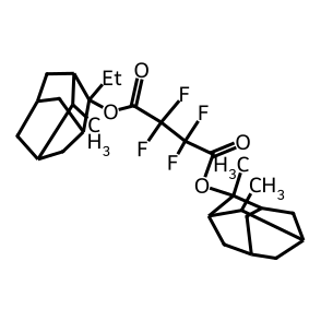 CCC1(OC(=O)C(F)(F)C(F)(F)C(=O)OC2(C)C3CC4CC(C3)C(C)C2C4)C2CC3CC(C2)C(C)C1C3